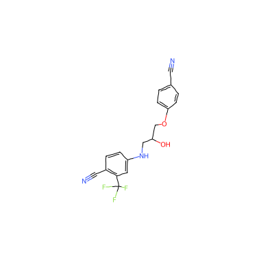 N#Cc1ccc(OCC(O)CNc2ccc(C#N)c(C(F)(F)F)c2)cc1